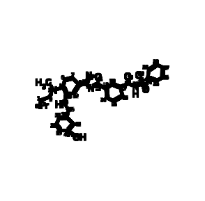 CC(C)CCN(C)c1ccc(-c2noc(-c3cccc(C(=O)NS(=O)(=O)c4ccccc4)c3)n2)cc1NCc1cccc(O)c1